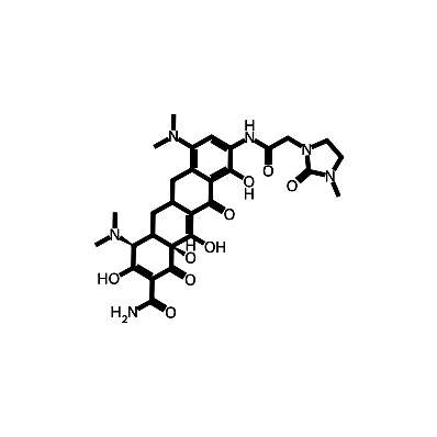 CN1CCN(CC(=O)Nc2cc(N(C)C)c3c(c2O)C(=O)C2=C(O)[C@]4(O)C(=O)C(C(N)=O)=C(O)[C@@H](N(C)C)C4CC2C3)C1=O